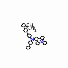 CC1(C)c2ccccc2C2C=CC(c3ccc(N(c4ccc(-c5ccccc5)cc4)c4ccc(-c5cccc6c7ccccc7n(-c7ccccc7)c56)cc4)cc3)=CC21